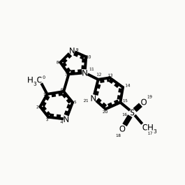 Cc1ccncc1-c1cncn1-c1ccc(S(C)(=O)=O)cn1